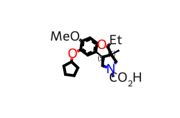 CCC(=O)[C@]1(C)CN(C(=O)O)C[C@H]1c1ccc(OC)c(OC2CCCC2)c1